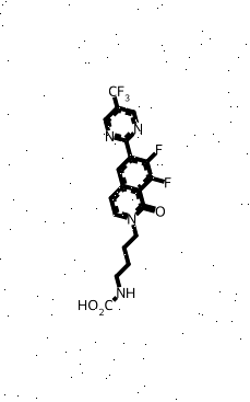 O=C(O)NCCCCn1ccc2cc(-c3ncc(C(F)(F)F)cn3)c(F)c(F)c2c1=O